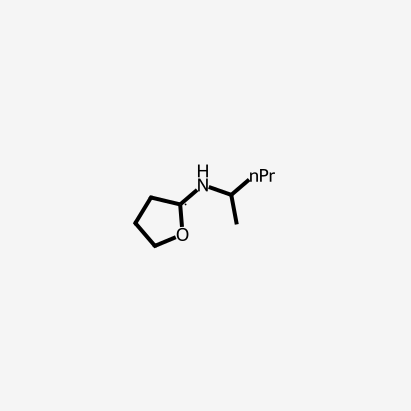 CCCC(C)N[C]1CCCO1